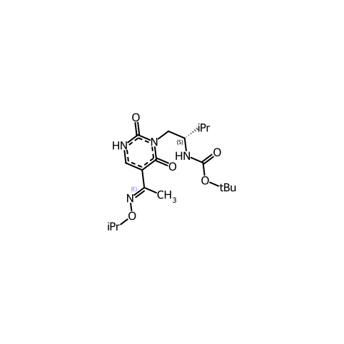 C/C(=N\OC(C)C)c1c[nH]c(=O)n(C[C@@H](NC(=O)OC(C)(C)C)C(C)C)c1=O